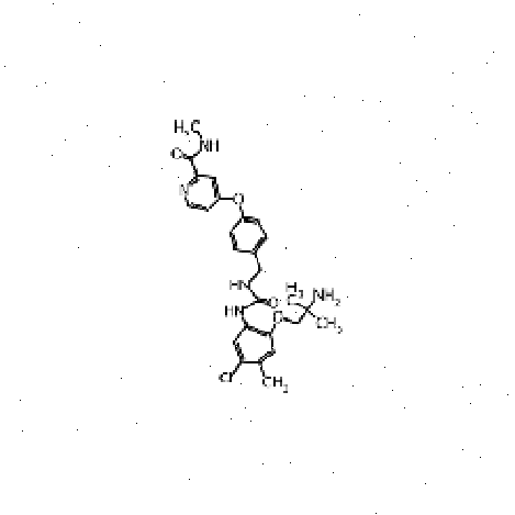 CNC(=O)c1cc(Oc2ccc(CNC(=O)Nc3cc(Cl)c(C)cc3OCC(C)(C)N)cc2)ccn1